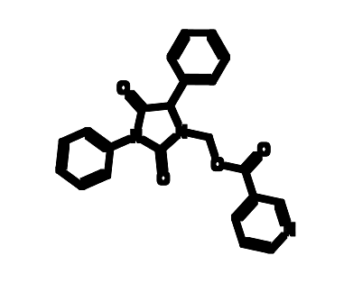 O=C(OCN1C(=O)N(c2ccccc2)C(=O)C1c1ccccc1)c1cccnc1